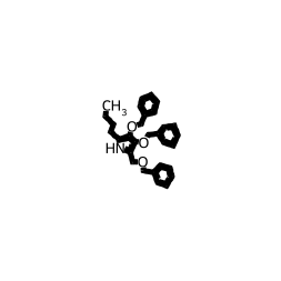 CCCCc1[nH]c(COCc2ccccc2)c(OCc2ccccc2)c1OCc1ccccc1